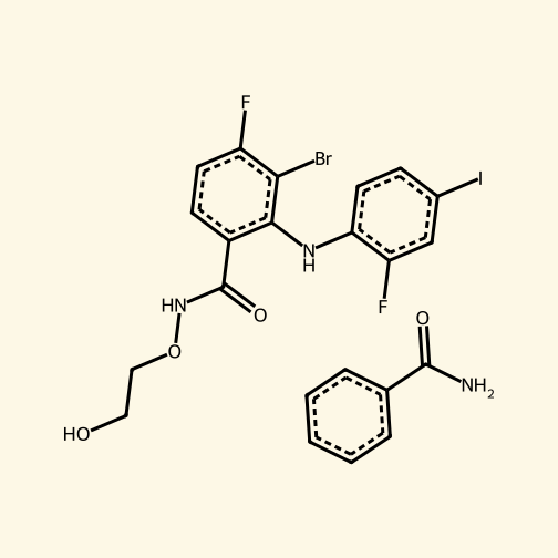 NC(=O)c1ccccc1.O=C(NOCCO)c1ccc(F)c(Br)c1Nc1ccc(I)cc1F